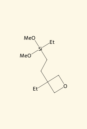 CCC1(CC[Si](CC)(OC)OC)COC1